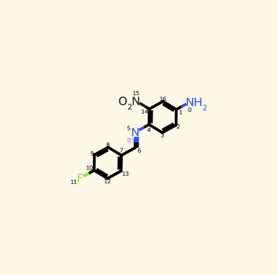 Nc1ccc(/N=C/c2ccc(F)cc2)c([N+](=O)[O-])c1